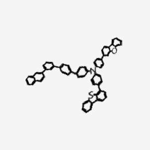 c1cc(-c2ccc(-c3ccc(N(c4ccc(-c5ccc6c(c5)oc5ccccc56)cc4)c4ccc(-c5cccc6c5sc5ccccc56)cc4)cc3)cc2)cc(-c2ccc3ccccc3c2)c1